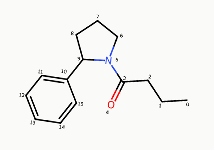 CCCC(=O)N1CCCC1c1ccccc1